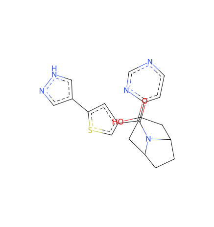 O=C(c1csc(-c2cn[nH]c2)c1)N1C2CCC1CC(O)(c1ccncn1)C2